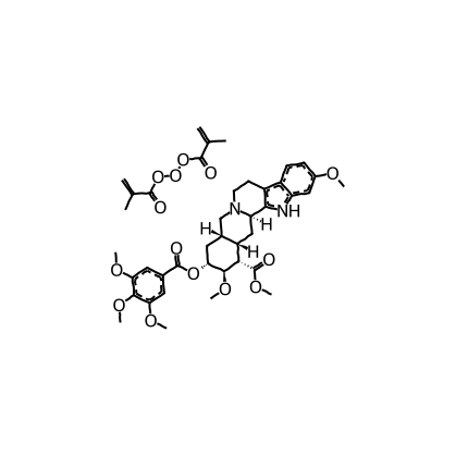 C=C(C)C(=O)OOOC(=O)C(=C)C.COC(=O)[C@H]1[C@H]2C[C@@H]3c4[nH]c5cc(OC)ccc5c4CCN3C[C@H]2C[C@@H](OC(=O)c2cc(OC)c(OC)c(OC)c2)[C@@H]1OC